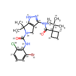 CC1(C)c2[nH]nc(NC(=O)C3([Si](C)(C)C)CCC3)c2CN1C(=O)Nc1c(Cl)cccc1Br